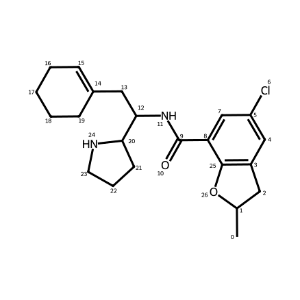 CC1Cc2cc(Cl)cc(C(=O)NC(CC3=CCCCC3)C3CCCN3)c2O1